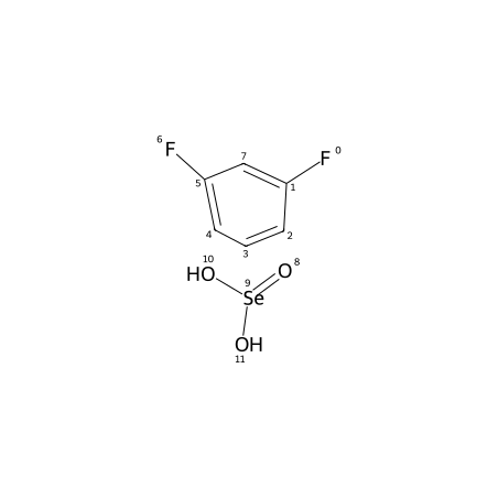 Fc1cccc(F)c1.O=[Se](O)O